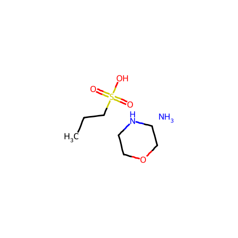 C1COCCN1.CCCS(=O)(=O)O.N